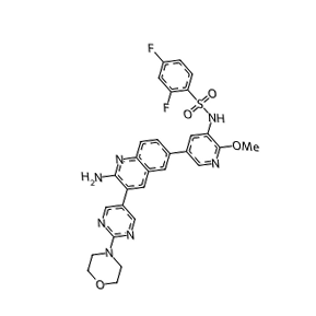 COc1ncc(-c2ccc3nc(N)c(-c4cnc(N5CCOCC5)nc4)cc3c2)cc1NS(=O)(=O)c1ccc(F)cc1F